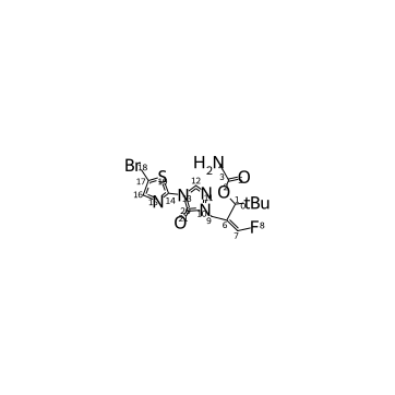 CC(C)(C)C(OC(N)=O)C(=CF)Cn1ncn(-c2ncc(Br)s2)c1=O